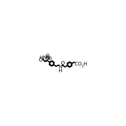 O=C(O)Cc1ccc(CC(=O)NCCc2ccc(C3=CC(=O)NS3(=O)=O)cc2)cc1